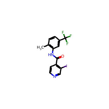 Cc1ccc(C(F)(F)F)cc1NC(=O)c1ccncc1I